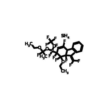 CCOC(C)(F)O[Si](F)(OC(F)(F)F)C1(F)C(F)=C(F)C(c2ccccc2)C(F)(C(F)=C(F)F)C1(F)OCC.[SiH4]